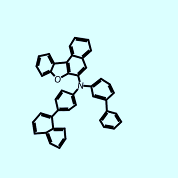 c1ccc(-c2cccc(N(c3ccc(-c4cccc5ccccc45)cc3)c3cc4ccccc4c4c3oc3ccccc34)c2)cc1